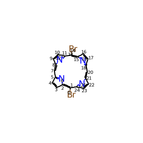 BrC1=C2C=CC(=N2)C=C2C=CC(=N2)C(Br)=C2C=CC(=N2)C=C2C=CC1=N2